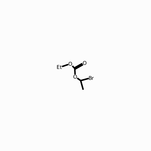 CCOC(=O)OC(C)Br